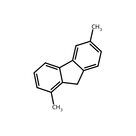 Cc1ccc2c(c1)-c1cccc(C)c1C2